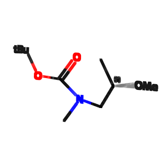 CO[C@@H](C)CN(C)C(=O)OC(C)(C)C